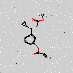 C#CC(=O)Oc1cccc([C@@H](CC(=O)OC)C2CC2)c1